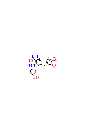 COc1cc(Cc2ccc(C(N)=O)c(NC3CCC(O)CC3)c2)cc(C)c1OC